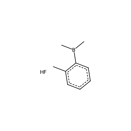 CB(C)c1ccccc1C.F